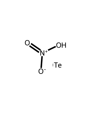 O=[N+]([O-])O.[Te]